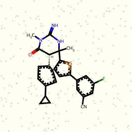 CN1C(=N)NC(C)(c2ccc(-c3cc(F)cc(C#N)c3)s2)[C@H](c2ccc(C3CC3)cc2)C1=O